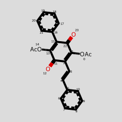 CC(=O)OC1=C(C=Cc2ccccc2)C(=O)C(OC(C)=O)=C(c2ccccc2)C1=O